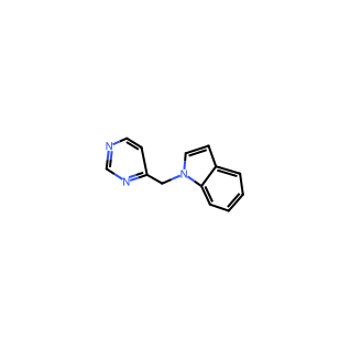 c1ccc2c(c1)ccn2Cc1ccncn1